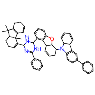 CC1(C)C2=C(C=CCC2)C2(C)C(C3N=C(c4ccccc4)NC(c4cccc5c4C4C=CCC(N6c7ccc(-c8ccccc8)cc7C7C=CC=CC76)C4O5)N3)=CCCC12